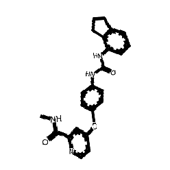 CNC(=O)c1cc(Oc2ccc(NC(=O)Nc3cccc4c3CCC4)cc2)ccn1